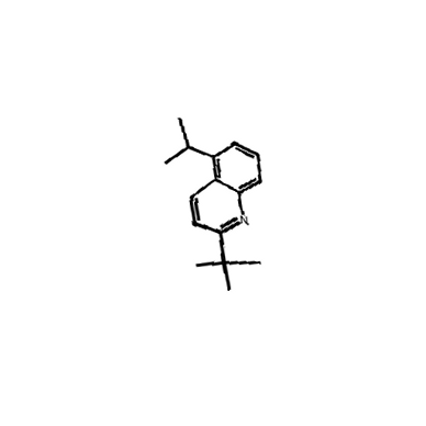 CC(C)c1cccc2nc(C(C)(C)C)ccc12